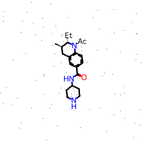 CC[C@H]1[C@H](C)Cc2cc(C(=O)NC3CCNCC3)ccc2N1C(C)=O